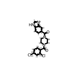 O=C(c1ccc2[nH]cnc2c1)N1CCN(C(=O)c2ccc(Cl)cc2Cl)CC1